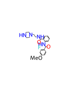 COc1ccc(C(=O)Nc2ccccc2C(=O)NCCN2CCNCC2)c(F)c1